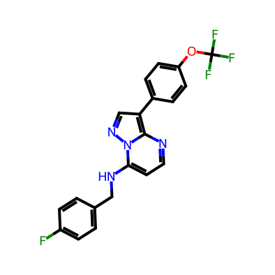 Fc1ccc(CNc2ccnc3c(-c4ccc(OC(F)(F)F)cc4)cnn23)cc1